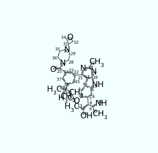 COc1cc2c(cc1/C(C(C)=N)=C(\C)O)[nH]c1nc(C)nc(-c3cc(C(=O)N4CCN(C5COC5)CC4)cc(C(C)(C)C)c3)c12